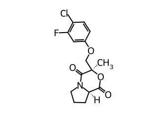 C[C@]1(COc2ccc(Cl)c(F)c2)OC(=O)[C@H]2CCCN2C1=O